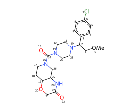 COCC(c1ccc(Cl)cc1)N1CCN(C(=O)N2CCC3OCC(=O)NC3C2)CC1